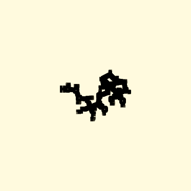 O=C(OCC1C2CC3C1OS(=O)(=O)C3C2)C(F)(F)SOOO